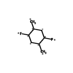 CC1CC(F)C(C)CC1F